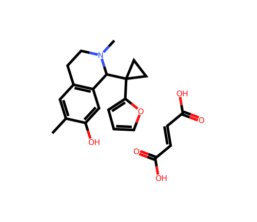 Cc1cc2c(cc1O)C(C1(c3ccco3)CC1)N(C)CC2.O=C(O)C=CC(=O)O